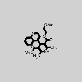 COCCOC(=O)C1=C(C)NC(N)=C(C(=O)OC)C1c1ccnc2ccccc12